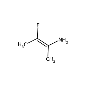 C/C(N)=C(\C)F